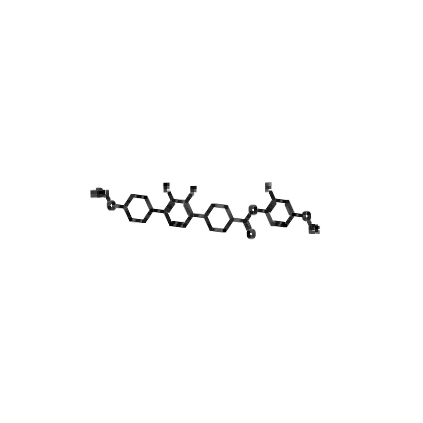 CCCCOC1CCC(c2ccc(C3CCC(C(=O)Oc4ccc(OCC)cc4F)CC3)c(F)c2F)CC1